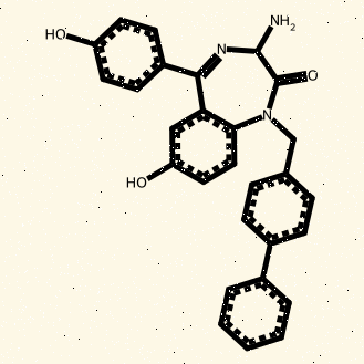 NC1N=C(c2ccc(O)cc2)c2cc(O)ccc2N(Cc2ccc(-c3ccccc3)cc2)C1=O